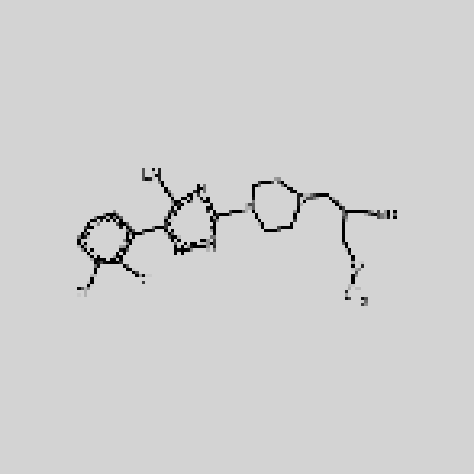 Nc1nc(N2CCN(CC(COC(F)(F)F)N=O)CC2)nnc1-c1cccc(Cl)c1Cl